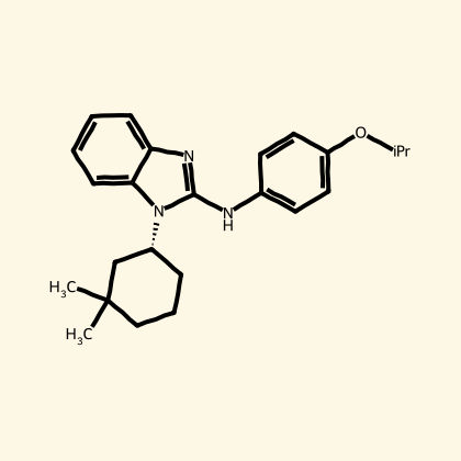 CC(C)Oc1ccc(Nc2nc3ccccc3n2[C@@H]2CCCC(C)(C)C2)cc1